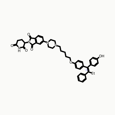 CC/C(=C(\c1ccc(O)cc1)c1ccc(OCCCCCN2CCN(c3ccc4c(c3)C(=O)N(C3CCC(=O)NC3=O)C4=O)CC2)cc1)c1ccccc1